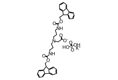 O=C([O-])CN(CCCNC(=O)OCC1c2ccccc2-c2ccccc21)CCCNC(=O)OCC1c2ccccc2-c2ccccc21.O=S(=O)(O)O.[K+]